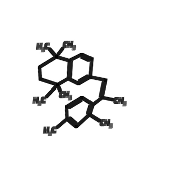 CC(=Cc1ccc2c(c1)C(C)(C)CCC2(C)C)c1ccc(C)cc1C